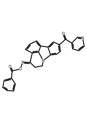 O=C(O/N=C1\CCn2c3ccc(C(=O)c4cccnc4)cc3c3cccc1c32)c1ccccc1